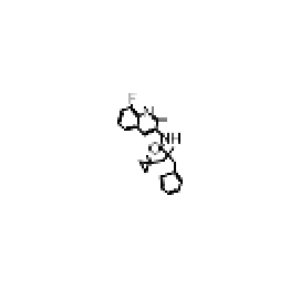 Cc1nc2c(F)cccc2cc1NC(=O)C(C)(Cc1ccccc1)CC1(C)CC1